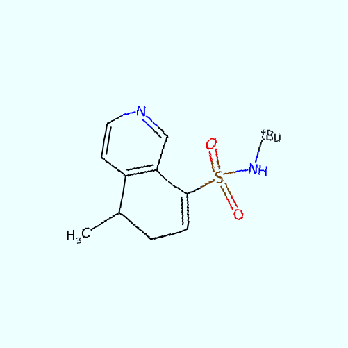 CC1CC=C(S(=O)(=O)NC(C)(C)C)c2cnccc21